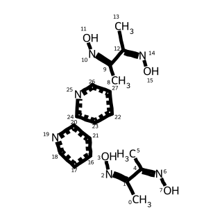 CC(=N/O)/C(C)=N\O.CC(=N/O)/C(C)=N\O.c1ccncc1.c1ccncc1